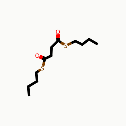 CCCCSC(=O)CCC(=O)SCCCC